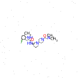 Cc1ccc(F)c2c1NC(C(=O)N[C@H]1CCCN(C3CCN(C(=O)CN(C)C)CC3)C1)C2